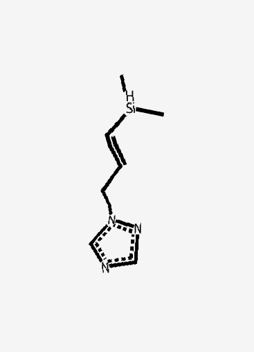 C[SiH](C)C=CCn1cncn1